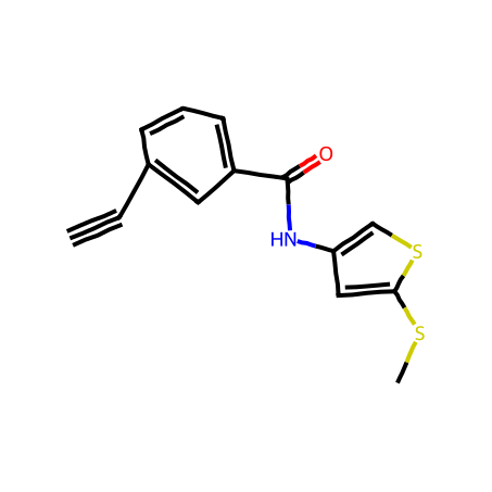 C#Cc1cccc(C(=O)Nc2csc(SC)c2)c1